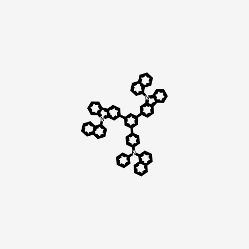 c1ccc(N(c2ccc(-c3cc(-c4ccc5c6ccccc6n(-c6cccc7ccccc67)c5c4)cc(-c4ccc5c6ccccc6n(-c6cccc7ccccc67)c5c4)c3)cc2)c2cccc3ccccc23)cc1